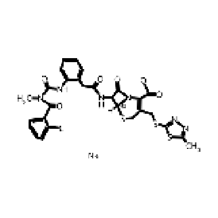 Cc1nnc(SCC2=C(C(=O)[O-])N3C(=O)C(NC(=O)Cc4ccccc4NC(=O)N(C)C(=O)c4ccccc4Cl)[C@H]3SC2)s1.[Na+]